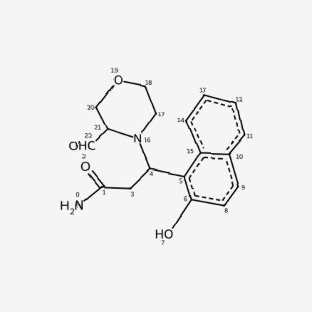 NC(=O)CC(c1c(O)ccc2ccccc12)N1CCOCC1C=O